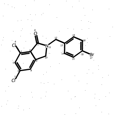 O=C1c2c(Cl)cc(Cl)cc2CN1Cc1ccc(Br)cc1